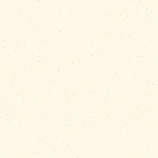 CC(C)(C)OC(=O)N(CCCC(Cl)c1ccccc1)Cc1ccccc1